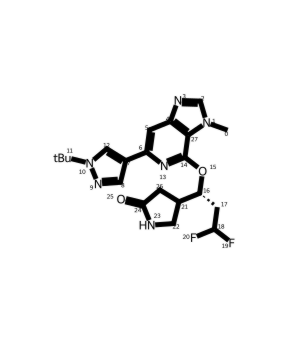 Cn1cnc2cc(-c3cnn(C(C)(C)C)c3)nc(O[C@H](CC(F)F)C3CNC(=O)C3)c21